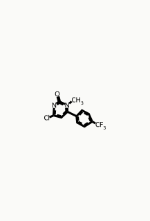 Cn1c(-c2ccc(C(F)(F)F)cc2)cc(Cl)nc1=O